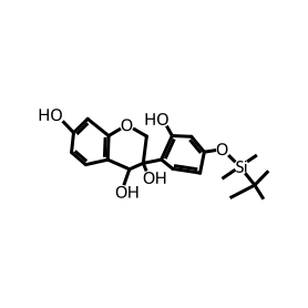 CC(C)(C)[Si](C)(C)Oc1ccc(C2(O)COc3cc(O)ccc3C2O)c(O)c1